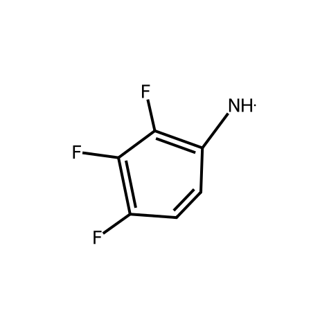 [NH]c1ccc(F)c(F)c1F